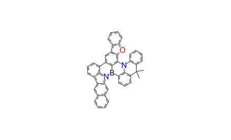 CC1(C)c2ccccc2N2c3c(cccc31)B1c3c(cc4c(oc5ccccc54)c32)-c2cccc3c4cc5ccccc5cc4n1c23